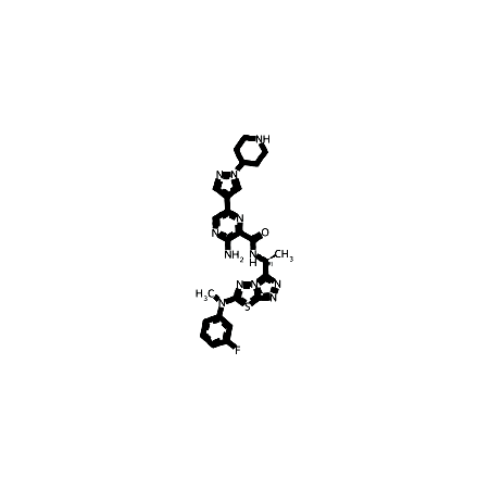 C[C@@H](NC(=O)c1nc(-c2cnn(C3CCNCC3)c2)cnc1N)c1nnc2sc(N(C)c3cccc(F)c3)nn12